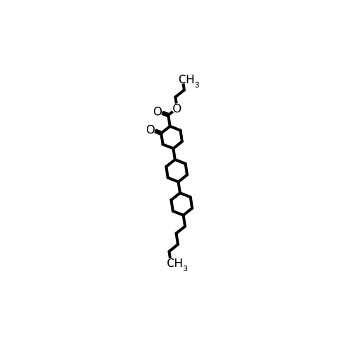 CCCCCC1CCC(C2CCC(C3CCC(C(=O)OCCC)C(=O)C3)CC2)CC1